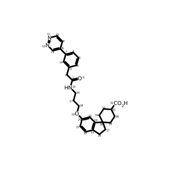 O=C(Cc1cccc(-c2ccnnc2)c1)NCCCOc1ccc2c(c1)C1(CC2)CCC(C(=O)O)CC1